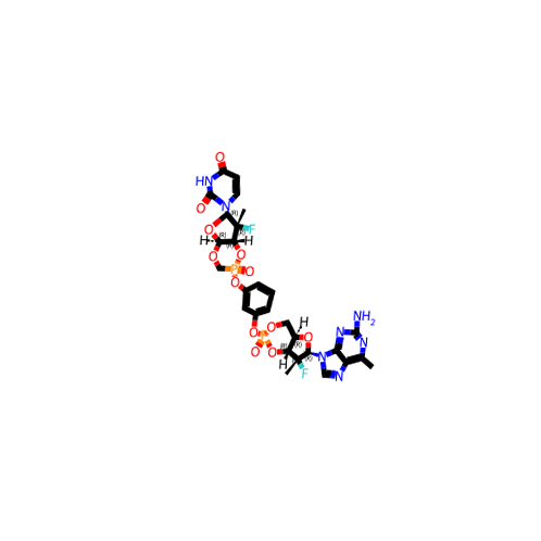 Cc1nc(N)nc2c1ncn2[C@@H]1O[C@@H]2COP(=O)(Oc3cccc(OP4(=O)CO[C@H]5O[C@@H](n6ccc(=O)[nH]c6=O)[C@](C)(F)[C@@H]5O4)c3)O[C@H]2[C@@]1(C)F